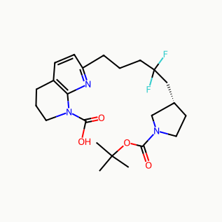 CC(C)(C)OC(=O)N1CC[C@@H](CC(F)(F)CCCc2ccc3c(n2)N(C(=O)O)CCC3)C1